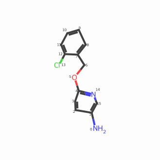 Nc1ccc(OCc2ccccc2Cl)nc1